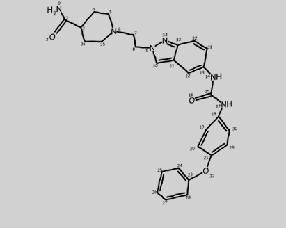 NC(=O)C1CCN(CCn2cc3cc(NC(=O)Nc4ccc(Oc5ccccc5)cc4)ccc3n2)CC1